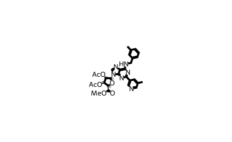 COC(=O)[C@@H]1O[C@@H](n2cnc3c(NCc4cccc(C)c4)nc(-c4cncc(C)c4)nc32)[C@H](OC(C)=O)[C@H]1OC(C)=O